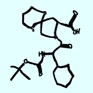 CC(C)(C)OC(=O)NC(C(=O)N1CC2(C[C@H]1C(=O)O)SCCCS2)C1CCCCC1